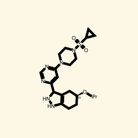 CC(C)O[C@H]1CCC2=C(C1)C(c1cc(N3CCN(S(=O)(=O)C4CC4)CC3)ncn1)NN2